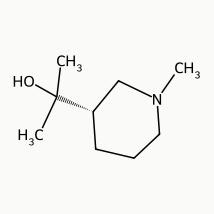 CN1CCC[C@H](C(C)(C)O)C1